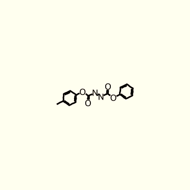 Cc1ccc(OC(=O)N=NC(=O)Oc2ccccc2)cc1